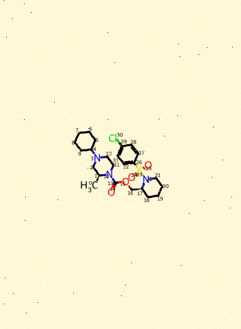 C[C@H]1CN(C2CCCCC2)CCN1C(=O)OC[C@@H]1CCCCN1S(=O)(=O)c1ccc(Cl)cc1